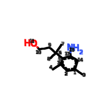 Cc1cc(C)c(C(C)(C)CCO)c(N)c1